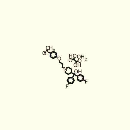 C[S+]([O-])c1ccc(OCCCN2CCC(C(O)(c3ccc(F)cc3)c3ccc(F)cc3)CC2)cc1.O.O=C(O)C(=O)O